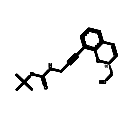 CC(C)(C)OC(=O)NCC#Cc1cccc2c1O[C@@H](CO)C=C2